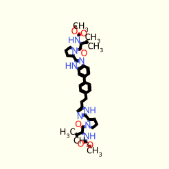 COC(=O)NC(C(=O)N1CCCC1c1ncc(CCc2ccc(-c3ccc4nc(C5CCCN5C(=O)C(NC(=O)OC)C(C)C)[nH]c4c3)cc2)[nH]1)C(C)C